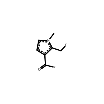 Cn1ccc(C(=O)F)c1CF